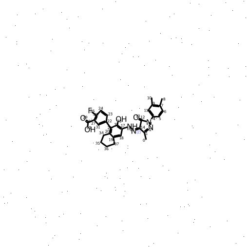 CC1=NN(c2ccc(C)c(C)c2)C(=O)/C1=N\Nc1cc2c(c(-c3ccc(F)c(C(=O)O)c3)c1O)CCCC2